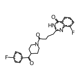 O=C(c1ccc(F)cc1)C1CCN(C(=O)CCCc2nc3c(F)cccc3c(=O)[nH]2)CC1